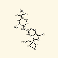 CCC1(c2nc(Cl)c3cnc(N[C@@H]4CCN(S(C)(=O)=O)C[C@H]4O)nn23)CCC1